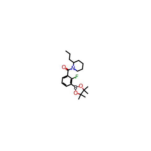 CCCC1CCCCN1C(=O)c1cccc(B2OC(C)(C)C(C)(C)O2)c1F